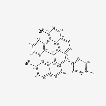 Cc1ccc(-c2c3ccc4ccc(Br)cc4c3c(-c3ccccc3)c3c2ccc2ccc(Br)cc23)cc1